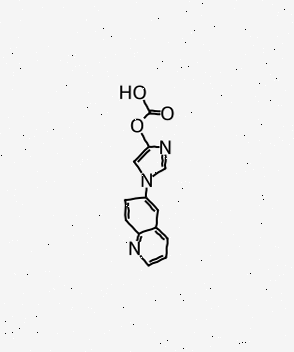 O=C(O)Oc1cn(-c2ccc3ncccc3c2)cn1